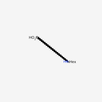 CCCCCCNCCCCCCCCCCCCCCCCCCCCCCCCCCCCCCCCCCCCCC(=O)O